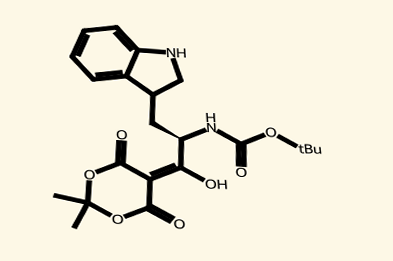 CC(C)(C)OC(=O)N[C@H](CC1CNc2ccccc21)C(O)=C1C(=O)OC(C)(C)OC1=O